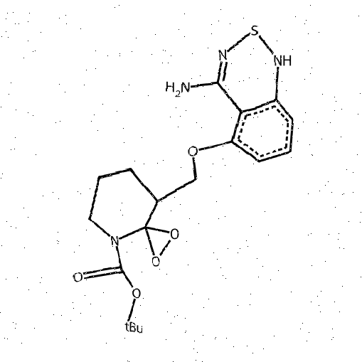 CC(C)(C)OC(=O)N1CCCC(COc2cccc3c2C(N)=NSN3)C12OO2